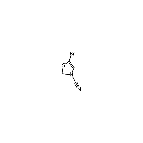 N#CN1C=C(Br)SC1